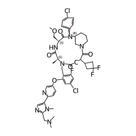 COC[C@@H]1NC(=O)[C@H](C)N(Cc2c(F)cc(Cl)cc2Oc2ccc(-c3cnc(CN(C)C)n3C)nc2)C(=O)CC(C2CC(F)(F)C2)C(=O)N2CCC[C@@](Cc3ccc(Cl)cc3)(C2)N(C)C1=O